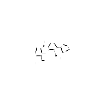 C#Cc1c(Oc2c(C(=O)O)cccc2C(=O)O)cccc1-c1ccccc1